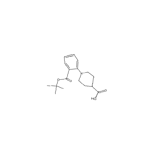 CC(C)(C)OC(=O)c1ccccc1N1CCC(C(=O)O)CC1